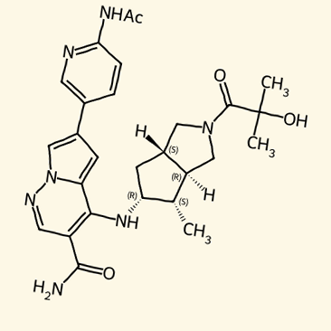 CC(=O)Nc1ccc(-c2cc3c(N[C@@H]4C[C@@H]5CN(C(=O)C(C)(C)O)C[C@H]5[C@@H]4C)c(C(N)=O)cnn3c2)cn1